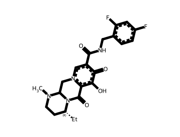 CC[C@@H]1CCN(C)C2Cn3cc(C(=O)NCc4ccc(F)cc4F)c(=O)c(O)c3C(=O)N21